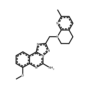 COc1cccc2c1nc(N)n1nc(CN3CCCc4ccc(C)nc43)nc21